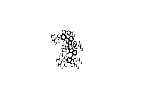 CC[Si]1(CC)C2=Cc3c(-c4c(C)c(C)c(C)c(C)c4C)cccc3[CH]2[Hf]([CH3])([CH3])[CH]2C1=Cc1c(-c3c(C)c(C)c(C)c(C)c3C)cccc12